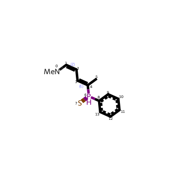 CN/C=C\C=C(/C)[PH](=S)c1ccccc1